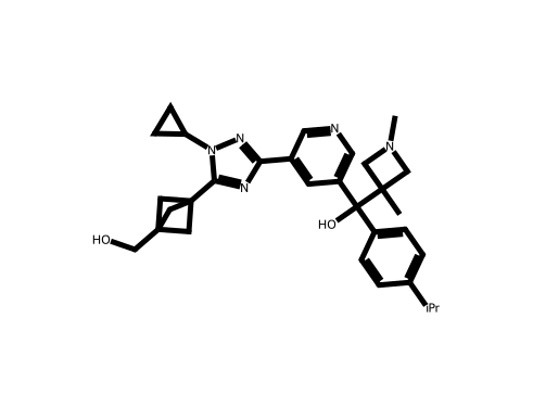 CC(C)c1ccc(C(O)(c2cncc(-c3nc(C45CC(CO)(C4)C5)n(C4CC4)n3)c2)C2(C)CN(C)C2)cc1